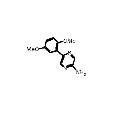 COc1ccc(OC)c(-c2cnc(N)cn2)c1